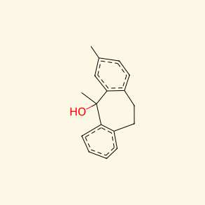 Cc1ccc2c(c1)C(C)(O)c1ccccc1CC2